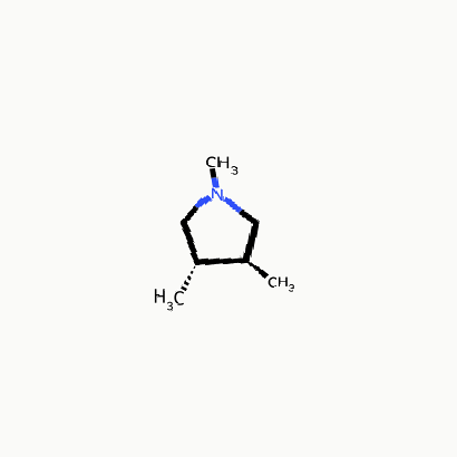 C[C@@H]1CN(C)C[C@H]1C